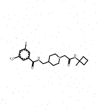 CC1(NC(=O)CN2CCC(CNC(=O)c3cc(F)cc(C(F)(F)F)c3)CC2)CCC1